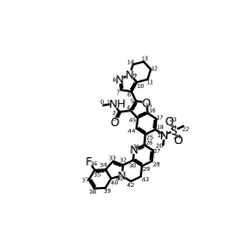 CNC(=O)c1c(-c2cnn3c2CCCC3)oc2cc(N(C)S(C)(=O)=O)c(-c3ccc4c(n3)C3=CC5=C(F)C=CCC5N3CC4)cc12